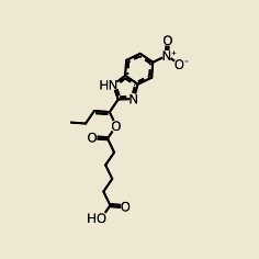 CCC=C(OC(=O)CCCCC(=O)O)c1nc2cc([N+](=O)[O-])ccc2[nH]1